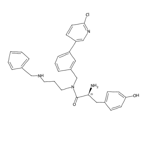 N[C@@H](Cc1ccc(O)cc1)C(=O)N(CCCNCc1ccccc1)Cc1cccc(-c2ccc(Cl)nc2)c1